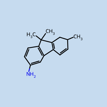 CC1C=CC2=C(C1)C(C)(C)c1ccc(N)cc12